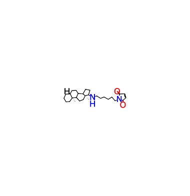 C[C@]12CCC3C(CC[C@@H]4CCCC[C@]34C)C1CC[C@H]2NCCCCCCN1C(=O)C=CC1=O